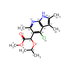 COC(=O)C(OC(C)C)c1c(C)nc2[nH]c(C)c(C)c2c1Cl